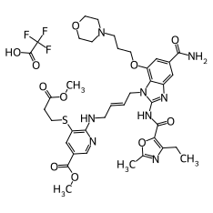 CCc1nc(C)oc1C(=O)Nc1nc2cc(C(N)=O)cc(OCCCN3CCOCC3)c2n1C/C=C/CNc1ncc(C(=O)OC)cc1SCCC(=O)OC.O=C(O)C(F)(F)F